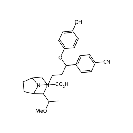 COC(C)C1C2CCC(CN1C(=O)O)N2CCCC(Oc1ccc(O)cc1)c1ccc(C#N)cc1